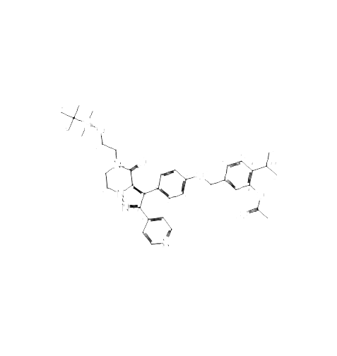 CC(=O)Oc1cc(COc2ccc(-c3c(-c4ccncc4)nn4c3C(=O)N(CCO[Si](C)(C)C(C)(C)C)CC4)cc2)ccc1C(C)C